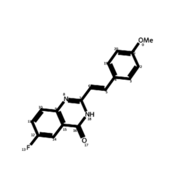 COc1ccc(C=Cc2nc3ccc(F)cc3c(=O)[nH]2)cc1